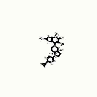 Cc1nc2c(N3CC[C@H]4[C@H](CCN4c4cnc(C5CC5)nc4)C3)c(C#N)c(=O)n(C)c2s1